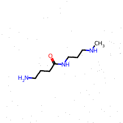 CNCCCNC(=O)CCCN